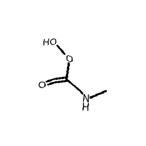 CNC(=O)OO